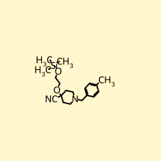 Cc1ccc(CN2CCC(C#N)(OCCO[Si](C)(C)C)CC2)cc1